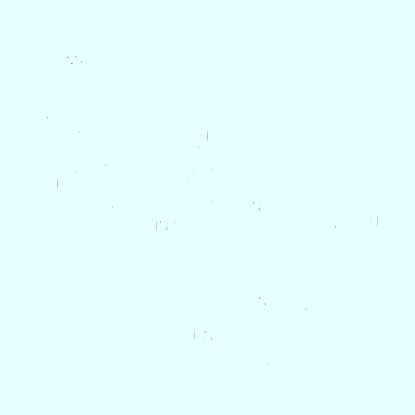 COc1cc(C)c(S(=O)(=O)NC(CCn2cccc2N)C(=O)N2CCC(C)CC2)c(C)c1C